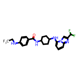 O=C(NC1CCC(Nc2cccc3nc(C(F)F)cn23)CC1)c1ccc(NCC(F)(F)F)cc1